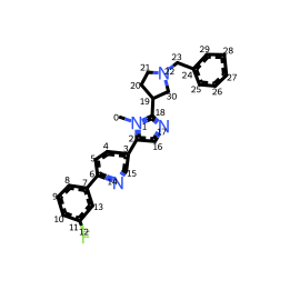 Cn1c(-c2ccc(-c3cccc(F)c3)nc2)cnc1C1CCN(Cc2ccccc2)C1